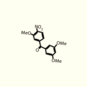 COc1cc(OC)cc(C(=O)c2ccc([N+](=O)[O-])c(OC)c2)c1